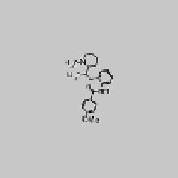 COc1ccc(C(=O)Nc2ccccc2CC(C)C2CCCCN2C)cc1